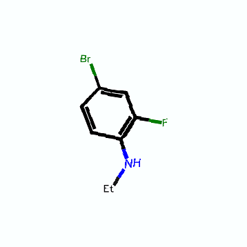 CCNc1ccc(Br)cc1F